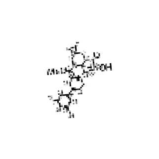 COC(=O)N1CC2(CC2)C[C@H](C(=O)NO)[C@H]1C(=O)N1CC=C(c2cc(C)cc(C)c2)CC1